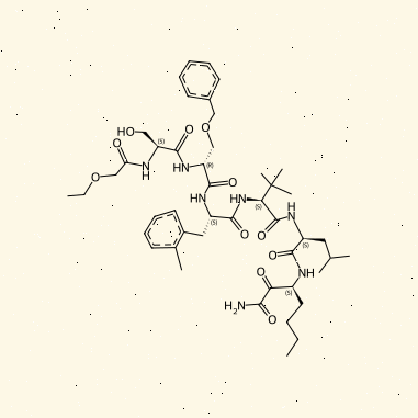 CCCC[C@H](NC(=O)[C@H](CC(C)C)NC(=O)[C@@H](NC(=O)[C@H](Cc1ccccc1C)NC(=O)[C@@H](COCc1ccccc1)NC(=O)[C@H](CO)NC(=O)COCC)C(C)(C)C)C(=O)C(N)=O